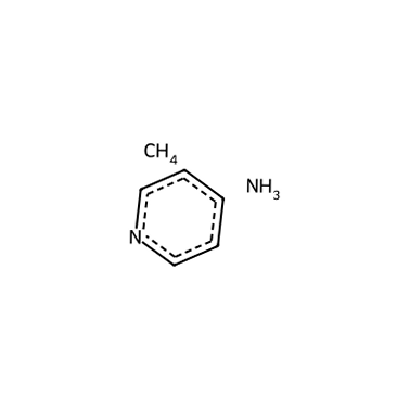 C.N.c1ccncc1